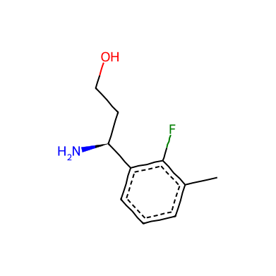 Cc1cccc([C@@H](N)CCO)c1F